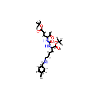 CC(=O)C(CCC(=O)OC(C)(C)C)NC(=O)NC(CCCCNCc1ccc(C)cc1)C(=O)OC(C)(C)C